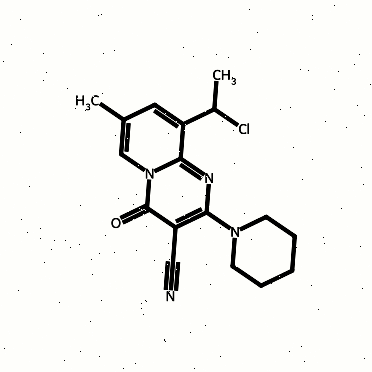 Cc1cc(C(C)Cl)c2nc(N3CCCCC3)c(C#N)c(=O)n2c1